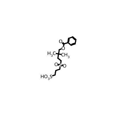 CC(C)(CCS(=O)(=O)CCCS(=O)(=O)O)COC(=O)c1ccccc1